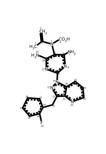 C=C(C)N(C(=O)O)c1c(N)nc(-n2nc(Cc3ccccc3F)c3ncccc32)nc1N